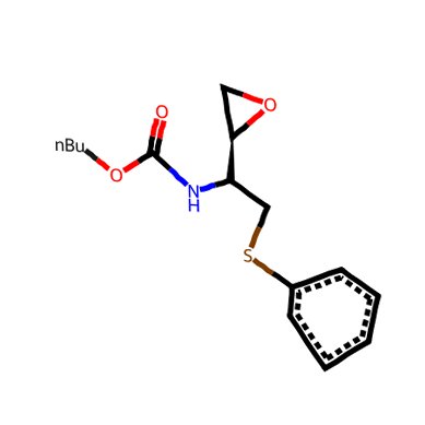 CCCCOC(=O)NC(CSc1ccccc1)[C@H]1CO1